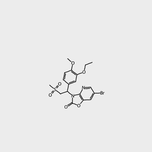 CCOc1cc(C(CS(C)(=O)=O)n2c(=O)oc3cc(Br)cnc32)ccc1OC